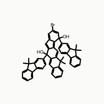 CC1(C)C2=CC3=C4C(=CC(Br)=CC4(O)c4ccc5c(c4)C(C)(C)c4ccccc4-5)C=C3C(O)(c3ccc4c(c3)C(C)(C)c3ccccc3-4)C2=Cc2ccccc21